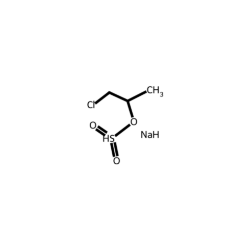 CC(CCl)O[SH](=O)=O.[NaH]